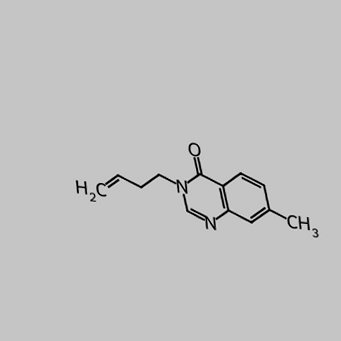 C=CCCn1cnc2cc(C)ccc2c1=O